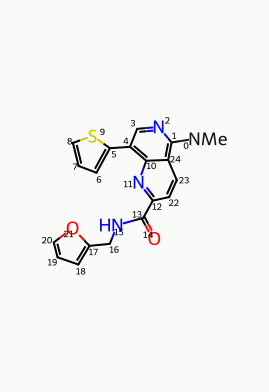 CNc1ncc(-c2cccs2)c2nc(C(=O)NCc3ccco3)ccc12